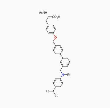 CCC(CC)c1ccc(N(Cc2cccc(-c3ccc(COc4ccc(C[C@H](NC(C)=O)C(=O)O)cc4)cc3)c2)C(C)C)cc1